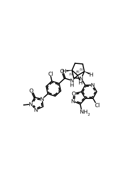 Cn1ncn(-c2ccc(C(=O)N[C@@H]3[C@H]4CC[C@@H]3N(c3ncc(Cl)c5c(N)noc35)C4)c(Cl)c2)c1=O